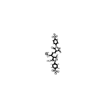 CCC(=CC=C1C(=O)N(c2ccc(S(=O)(=O)[O-])cc2)N=C1C)c1c(C)nn(-c2ccc(S(=O)(=O)[O-])cc2)c1O.[K+].[K+]